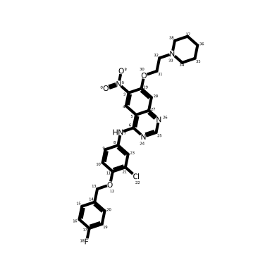 O=[N+]([O-])c1cc2c(Nc3ccc(OCc4ccc(F)cc4)c(Cl)c3)ncnc2cc1OCCN1CCCCC1